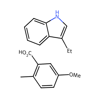 CCc1c[nH]c2ccccc12.COc1ccc(C)c(C(=O)O)c1